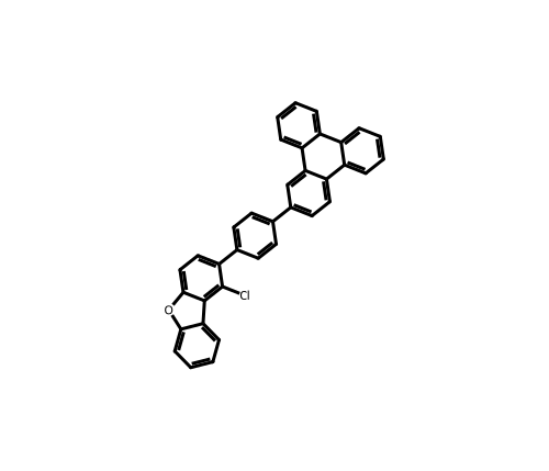 Clc1c(-c2ccc(-c3ccc4c5ccccc5c5ccccc5c4c3)cc2)ccc2oc3ccccc3c12